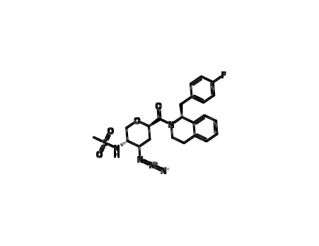 CS(=O)(=O)N[C@@H]1CO[C@@H](C(=O)N2CCc3ccccc3[C@@H]2Cc2ccc(F)cc2)CC1N=[N+]=[N-]